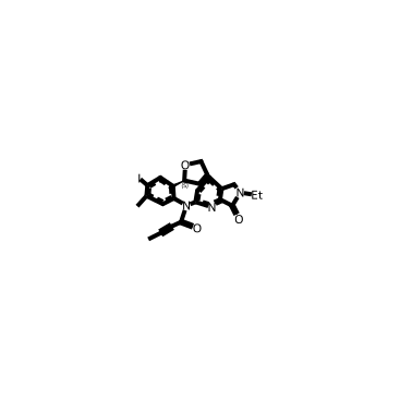 CC#CC(=O)N(c1ccc2c(n1)C(=O)N(CC)C2)c1cc(C)c(I)cc1[C@@H]1CCCO1